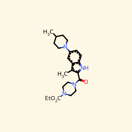 CCOC(=O)N1CCN(C(=O)c2[nH]c3ccc(N4CCC(C)CC4)cc3c2C)CC1